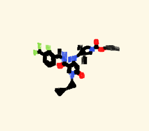 C[C@@H](NC(=O)c1cn([C@H]2C[C@@H]2C2CC2)c(=O)cc1NC1[C@H]2CN(C(=O)OC(C)(C)C)C[C@@H]12)c1cccc(C(F)F)c1F